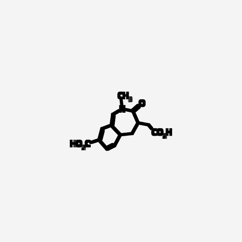 CN1C=C2C=C(C(=O)O)C=CC2CC(CC(=O)O)C1=O